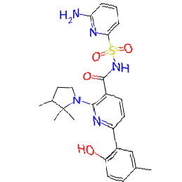 Cc1ccc(O)c(-c2ccc(C(=O)NS(=O)(=O)c3cccc(N)n3)c(N3CCC(C)C3(C)C)n2)c1